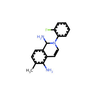 Cc1ccc2c(c1N)C=CN(c1ccccc1F)C2N